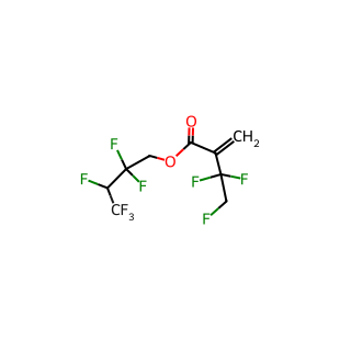 C=C(C(=O)OCC(F)(F)C(F)C(F)(F)F)C(F)(F)CF